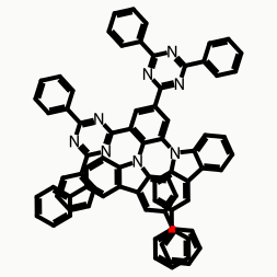 c1ccc(-c2ccc3c(c2)c2ccccc2n3-c2cc(-c3nc(-c4ccccc4)nc(-c4ccccc4)n3)cc(-c3nc(-c4ccccc4)nc(-c4ccccc4)n3)c2-n2c3ccc(-c4ccccc4)cc3c3cc(-c4ccccc4)ccc32)cc1